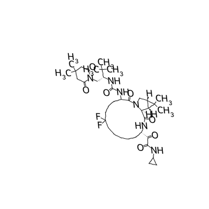 CC1(C)CC(=O)N(C[C@@H](NC(=O)NC2CCCC(F)(F)CCCCC[C@@H](C(=O)C(=O)NC3CC3)NC(=O)[C@@H]3[C@@H]4[C@H](CN3C2=O)C4(C)C)C(C)(C)C)C(=O)C1